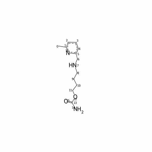 Cc1cccc(CNCCCCOC(N)=O)n1